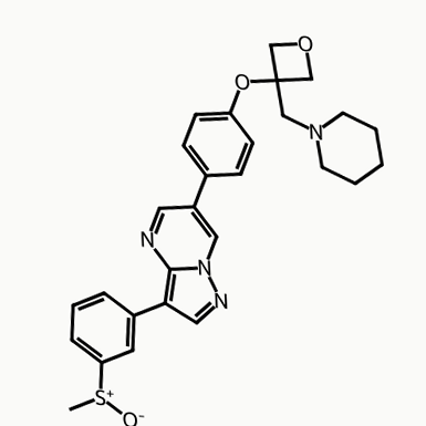 C[S+]([O-])c1cccc(-c2cnn3cc(-c4ccc(OC5(CN6CCCCC6)COC5)cc4)cnc23)c1